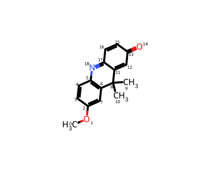 COc1ccc2c(c1)C(C)(C)C1=CC(=O)C=CC1=N2